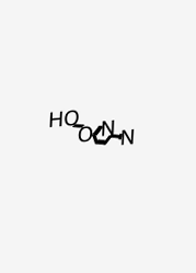 N#Cc1ccc(OCCO)cn1